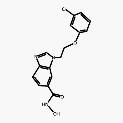 O=C(NO)c1ccc2ncn(CCOc3cccc(Cl)c3)c2c1